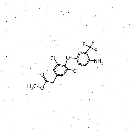 COC(=O)Cc1cc(Cl)c(Oc2ccc(N)c(C(F)(F)F)c2)c(Cl)c1